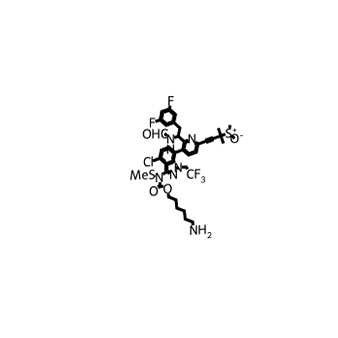 CSN(C(=O)OCCCCCCN)c1nn(CC(F)(F)F)c2c(-c3ccc(C#CC(C)(C)[S+](C)[O-])nc3C(Cc3cc(F)cc(F)c3)NC=O)ccc(Cl)c12